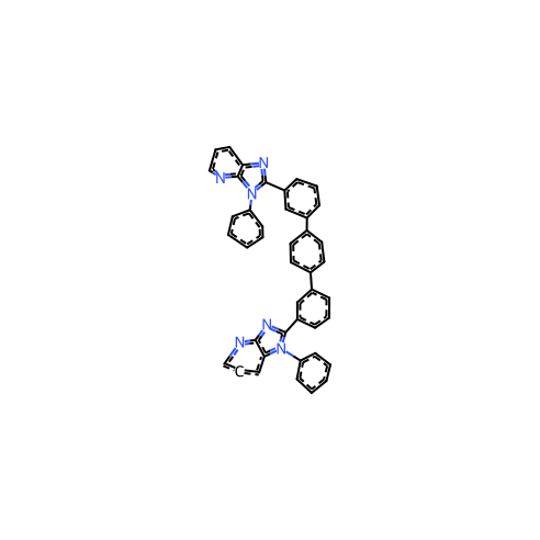 c1ccc(-n2c(-c3cccc(-c4ccc(-c5cccc(-c6nc7cccnc7n6-c6ccccc6)c5)cc4)c3)nc3ncccc32)cc1